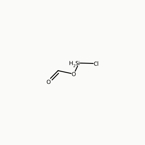 O=CO[SiH2]Cl